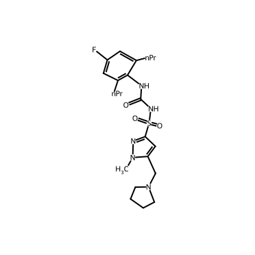 CCCc1cc(F)cc(CCC)c1NC(=O)NS(=O)(=O)c1cc(CN2CCCC2)n(C)n1